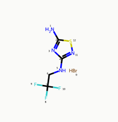 Br.Nc1nc(NCC(F)(F)F)ns1